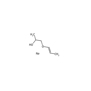 CC=COCC(C)O.[Na]